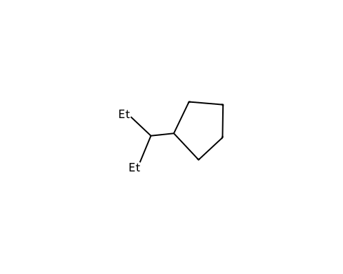 [CH2]CC(C[CH2])C1CCCC1